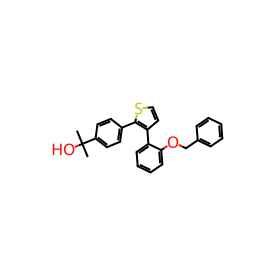 CC(C)(O)c1ccc(-c2sccc2-c2ccccc2OCc2ccccc2)cc1